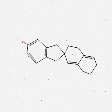 Oc1ccc2c(c1)CC1(C=C3CCCC=C3CC1)C2